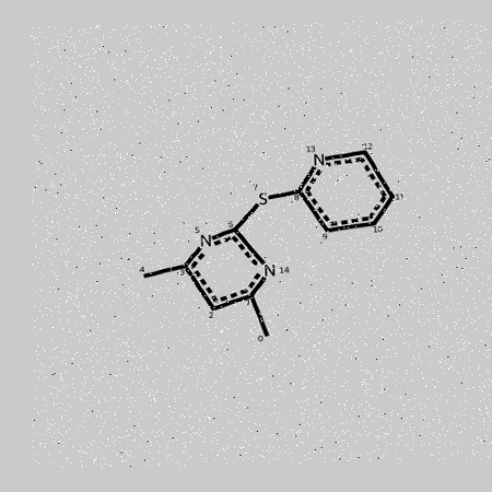 Cc1cc(C)nc(Sc2cc[c]cn2)n1